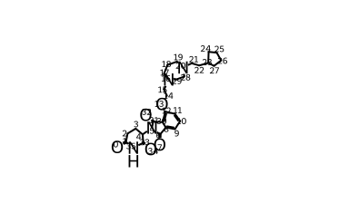 O=C1CCC(N2C(=O)c3cccc(OCCN4CCCN(CCC5CCCC5)CC4)c3C2=O)C(=O)N1